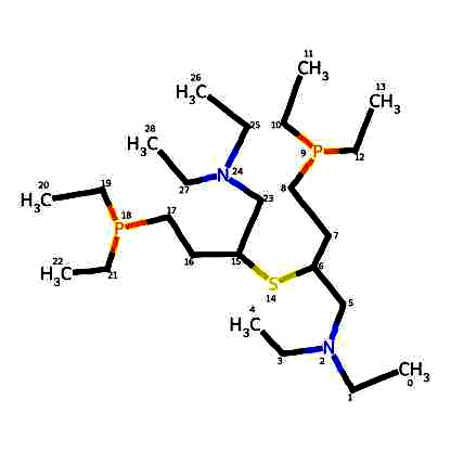 CCN(CC)CC(CCP(CC)CC)SC(CCP(CC)CC)CN(CC)CC